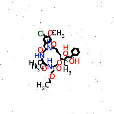 C=CCOCC[C@@H]1NC(=O)C(C)(C)CNC(=O)[C@@H](Cc2ccc(OC)c(Cl)c2)NC(=O)/C=C/C[C@@H]([C@H](C)[C@@H](O)[C@H](O)c2ccccc2)OC1=O